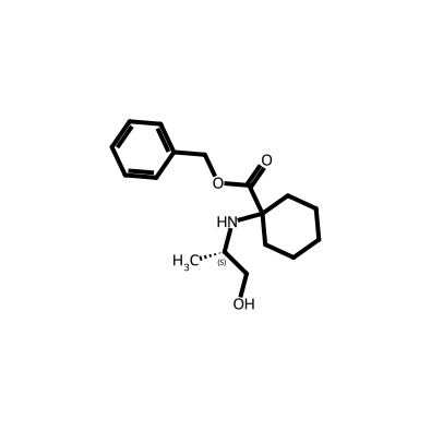 C[C@@H](CO)NC1(C(=O)OCc2ccccc2)CCCCC1